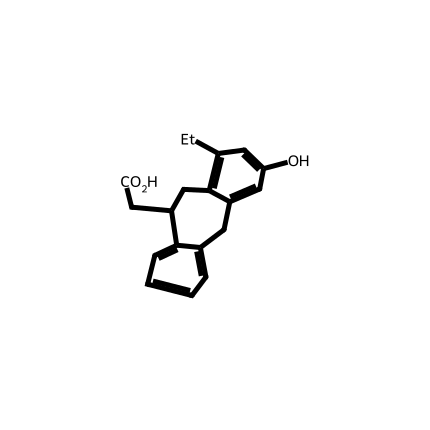 CCc1cc(O)cc2c1CC(CC(=O)O)c1ccccc1C2